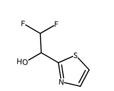 OC(c1nccs1)C(F)F